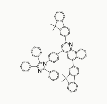 CC1(C)c2ccccc2-c2ccc(-c3cc(-c4ccc(-n5c(-c6ccccc6)nc(-c6ccccc6)c5-c5ccccc5)cc4)c4cc(-c5ccc6c(c5)C(C)(C)c5ccccc5-6)c5ccccc5c4n3)cc21